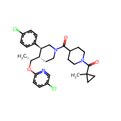 C[C@@H](Oc1ccc(Cl)cn1)[C@H]1CCN(C(=O)C2CCN(C(=O)C3(C)CC3)CC2)C[C@@H]1c1ccc(Cl)cc1